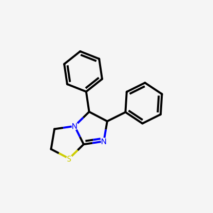 c1ccc(C2N=C3SCCN3C2c2ccccc2)cc1